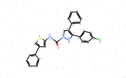 O=C(Nc1cc(-c2ccccc2)cs1)N1CC(c2ccccc2)=C(c2ccc(Cl)cc2)N1